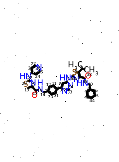 CC(C)c1sc(Nc2cc(-c3ccc(CNC(=O)c4csc(Nc5ccncc5)n4)cc3)ncn2)nc1C(=O)NCc1ccccc1